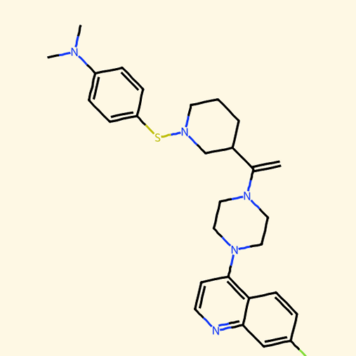 C=C(C1CCCN(Sc2ccc(N(C)C)cc2)C1)N1CCN(c2ccnc3cc(F)ccc23)CC1